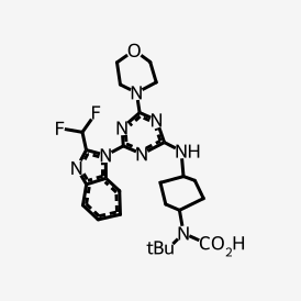 CC(C)(C)N(C(=O)O)C1CCC(Nc2nc(N3CCOCC3)nc(-n3c(C(F)F)nc4ccccc43)n2)CC1